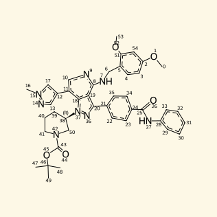 COc1ccc(CNc2ncc(-c3cnn(C)c3)c3c2c(-c2ccc(C(=O)Nc4ccccc4)cc2)nn3[C@@H]2CCCN(C(=O)OC(C)(C)C)C2)c(OC)c1